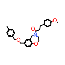 COc1ccc(CCC(=O)N2CCOc3ccc(COCc4ccc(C)cc4)cc3C2)cc1